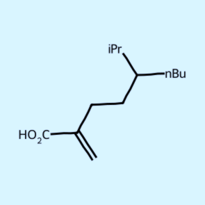 C=C(CCC(CCCC)C(C)C)C(=O)O